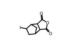 O=C1OC(=O)C2C3CC(CC3I)C12